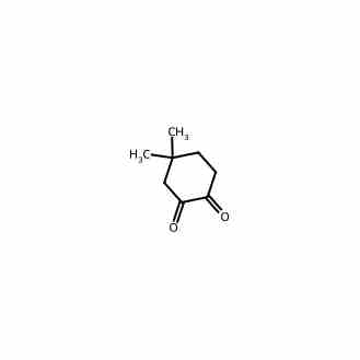 CC1(C)CCC(=O)C(=O)C1